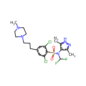 Cc1n[nH]c(C)c1N(C(F)F)S(=O)(=O)c1c(Cl)cc(CCCN2CCN(C)CC2)cc1Cl